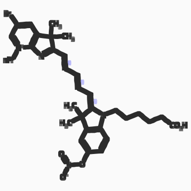 CCC[n+]1cc(Br)cc2c1N=C(/C=C/C=C/C=C1/N(CCCCCC(=O)O)c3ccc(OS(=O)[O-])cc3C1(C)C)C2(C)C